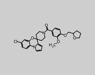 COc1cc(C(=O)N2CCC3(CC2)Oc2cc(Cl)ccc2-n2cccc23)ccc1OCC1CCCO1